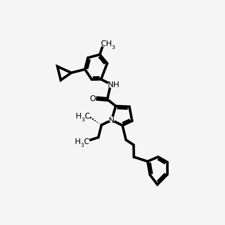 CC[C@H](C)n1c(CCCc2ccccc2)ccc1C(=O)Nc1cc(C)cc(C2CC2)c1